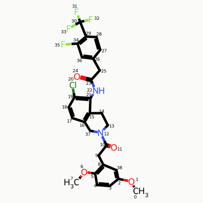 COc1ccc(OC)c(CC(=O)N2CCc3c(ccc(Cl)c3NC(=O)Cc3ccc(C(F)(F)F)c(F)c3)C2)c1